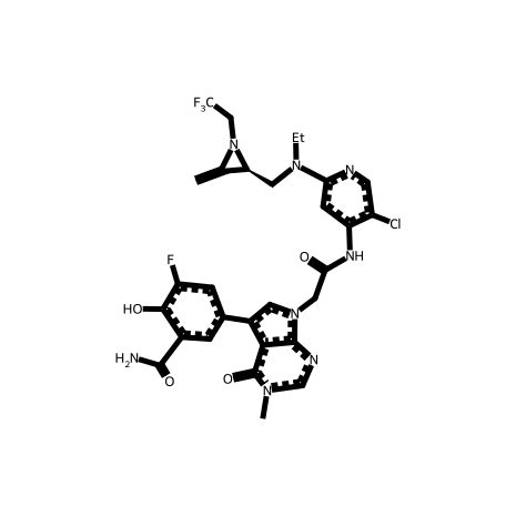 C=C1[C@H](CN(CC)c2cc(NC(=O)Cn3cc(-c4cc(F)c(O)c(C(N)=O)c4)c4c(=O)n(C)cnc43)c(Cl)cn2)N1CC(F)(F)F